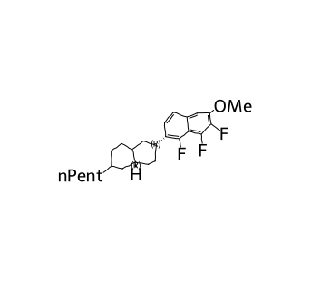 CCCCCC1CCC2C[C@H](c3ccc4cc(OC)c(F)c(F)c4c3F)CC[C@@H]2C1